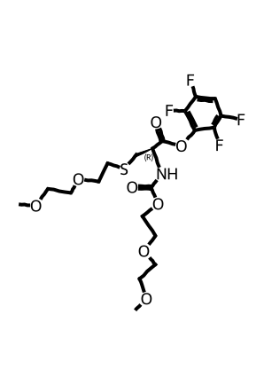 COCCOCCOC(=O)N[C@@H](CSCCOCCOC)C(=O)Oc1c(F)c(F)cc(F)c1F